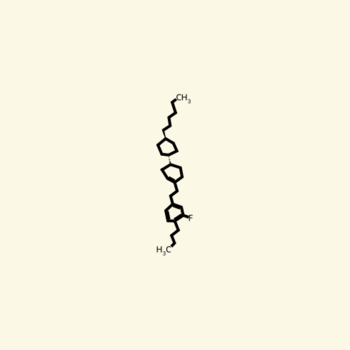 CCCCCC[C@H]1CC[C@H](C2CC=C(CCc3ccc(CCCC)c(F)c3)CC2)CC1